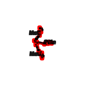 COc1cc(OCCCCCCCCCC(=O)OCC(COC(=O)CCCCCCCCCOc2ccc(C(=O)Oc3ccc4ccc(=O)oc4c3)c(OC)c2)OC(=O)CCCCCCCCCOc2ccc(C(=O)Oc3ccc4ccc(=O)oc4c3)c(OC)c2)ccc1C(=O)Oc1ccc2ccc(=O)oc2c1